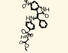 CCOC(=O)CNS(=O)(=O)c1ccc(NC(=C2C(=O)Nc3ccc([N+](=O)[O-])cc32)c2ccccc2)cc1